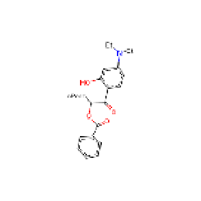 CCCCCC(OC(=O)c1ccccc1)C(=O)c1ccc(N(CC)CC)cc1O